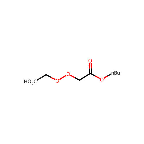 CCCCOC(=O)COOCC(=O)O